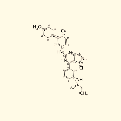 C=CC(=O)Nc1cccc(-c2nc(Nc3ccc(Cl)c(N4CCN(C)CC4)c3)nc3[nH]nc(Cl)c23)c1